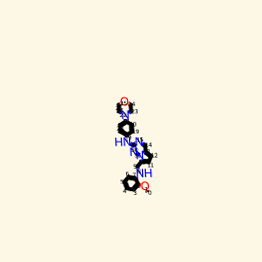 COc1ccccc1NCc1ccc2cnc(Nc3ccc(N4CCOCC4)cc3)nn12